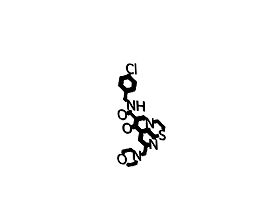 O=C(NCc1ccc(Cl)cc1)c1cn2c3c(nc(CN4CCOCC4)cc3c1=O)SCC2